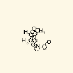 C[C@H]1[C@@H](Oc2cccc(-c3cccc(C=O)c3)n2)CCN1C(=O)OC(C)(C)C